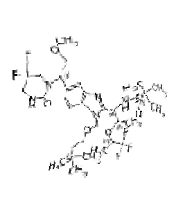 COC[C@H](c1ccc2c(c1)nc([C@@H](N[S@+]([O-])C(C)(C)C)[C@@H](C)O[C@@H](C)C(F)(F)F)n2COCC[Si](C)(C)C)N1CC(F)(F)CNC1=O